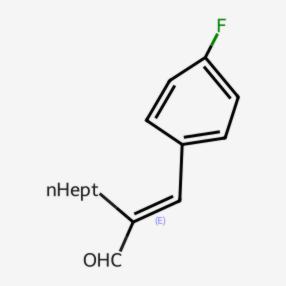 CCCCCCC/C(C=O)=C\c1ccc(F)cc1